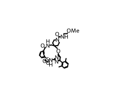 COCCNC(=O)N1CCC2(CC1)CNC(=O)c1cccc(c1)S(=O)(=O)Nc1nc(cc(-c3c(C)cccc3C)n1)OC2